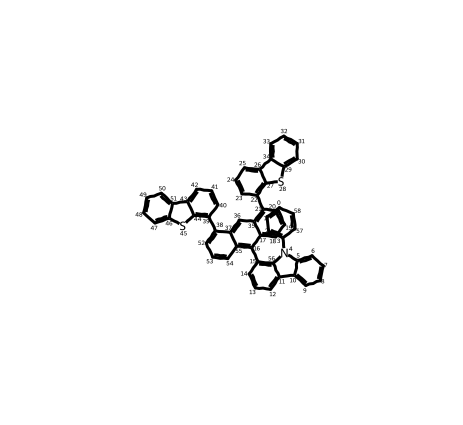 c1ccc(-n2c3ccccc3c3cccc(-c4c5cccc(-c6cccc7c6sc6ccccc67)c5cc5c(-c6cccc7c6sc6ccccc67)cccc45)c32)cc1